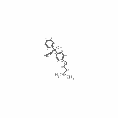 C#CC(O)(c1ccccc1)c1ccc(OCCN(C)C)cc1